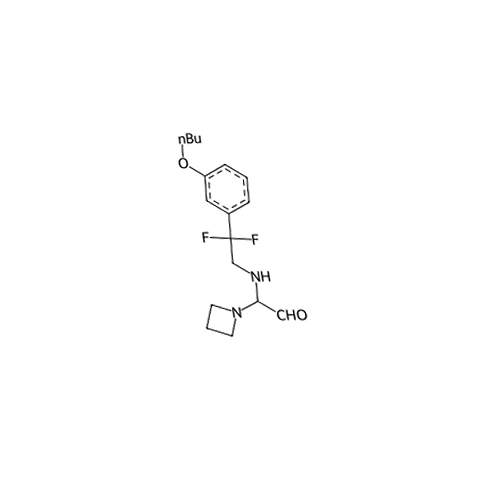 CCCCOc1cccc(C(F)(F)CNC(C=O)N2CCC2)c1